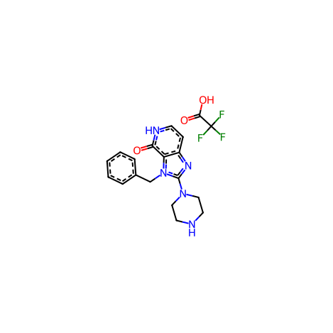 O=C(O)C(F)(F)F.O=c1[nH]ccc2nc(N3CCNCC3)n(Cc3ccccc3)c12